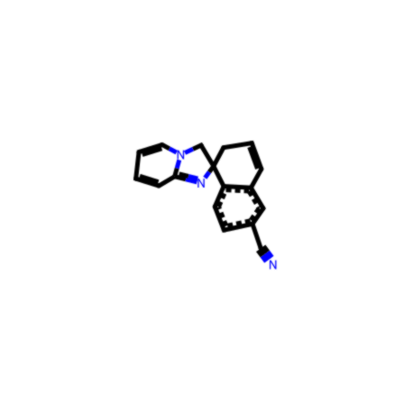 N#Cc1ccc2c(c1)C=CCC21CN2C=CC=CC2=N1